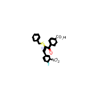 O=C(O)c1ccc(C(=O)/C(=C\c2ccc(F)c([N+](=O)[O-])c2)SCc2ccccc2)cc1